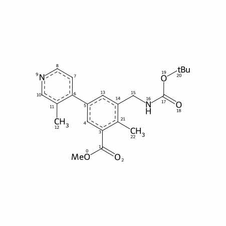 COC(=O)c1cc(-c2ccncc2C)cc(CNC(=O)OC(C)(C)C)c1C